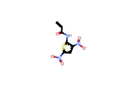 C=CC(=O)Nc1sc([N+](=O)[O-])cc1[N+](=O)[O-]